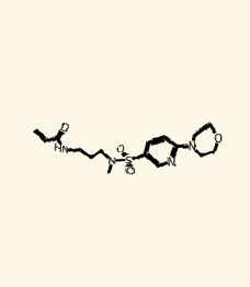 C=CC(=O)NCCCN(C)S(=O)(=O)c1ccc(N2CCOCC2)nc1